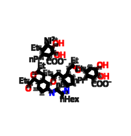 CCCCCCC(=Nc1ccc(CC(=O)CC)c(CC(=O)CC)c1)C(CCCC)=Nc1ccc(CC(=O)CC)c(CC(=O)CC)c1.CCCc1c(CC)cc(O)c(O)c1C(=O)[O-].CCCc1c(CC)cc(O)c(O)c1C(=O)[O-].[Ni+2]